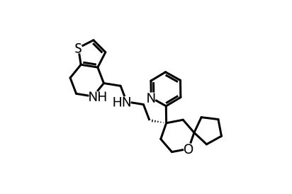 c1ccc([C@]2(CCNCC3NCCc4sccc43)CCOC3(CCCC3)C2)nc1